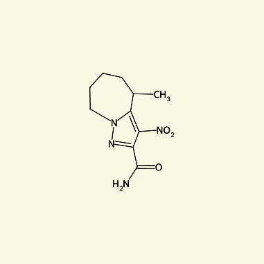 CC1CCCCn2nc(C(N)=O)c([N+](=O)[O-])c21